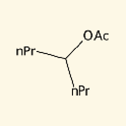 CCCC(CCC)OC(C)=O